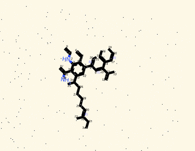 C=CNc1c(C=C)c(C(/C=C(/C(=C)C)C(=CC)/C=C\C)=C/C)cc(C(C)CCCC/C=C(\C)CC)c1C(=C)N